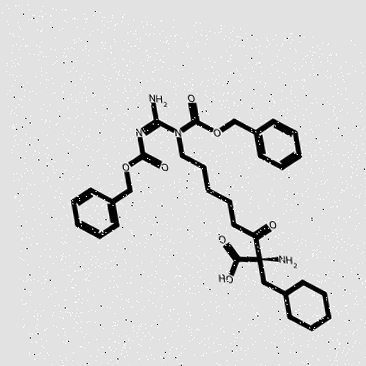 NC(=NC(=O)OCc1ccccc1)N(CCCCCC(=O)[C@](N)(CC1CCCCC1)C(=O)O)C(=O)OCc1ccccc1